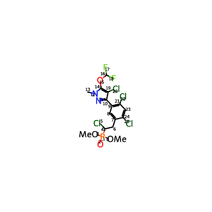 COP(=O)(OC)C(Cl)Cc1cc(-c2nn(C)c(OC(F)F)c2Cl)c(Cl)cc1Cl